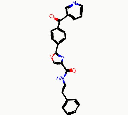 O=C(c1ccc(-c2nc(C(=O)NCCc3ccccc3)co2)cc1)c1cccnc1